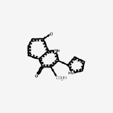 CCOC(=O)c1c(-c2ccc[nH]2)[nH]c2c(Cl)cccc2c1=O